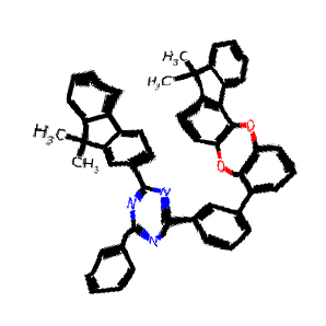 CC1(C)c2ccccc2-c2ccc(-c3nc(-c4ccccc4)nc(-c4cccc(-c5cccc6c5Oc5ccc7c(c5O6)-c5ccccc5C7(C)C)c4)n3)cc21